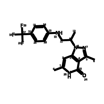 Cc1cc2c(c(C)nn2C(C)CNc2ccc(C(F)(F)F)cc2)c(=O)[nH]1